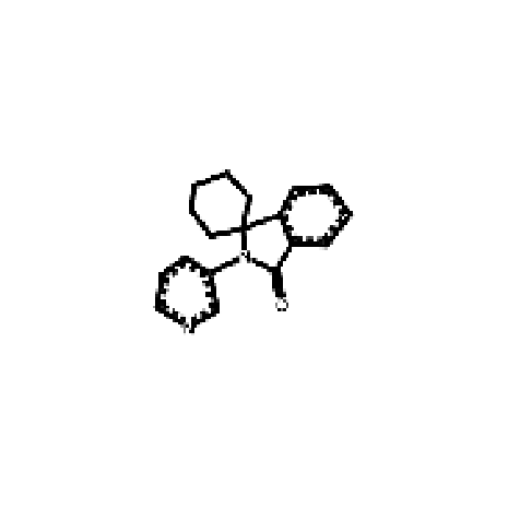 O=C1c2ccccc2C2(CCCCC2)N1c1cccnc1